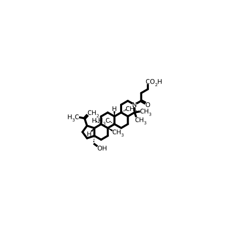 C=C(C)C1CC[C@]2(CO)CC[C@]3(C)[C@H](CC[C@@H]4[C@@]5(C)CCN(C(=O)CCC(=O)O)C(C)(C)C5CC[C@]43C)[C@@H]12